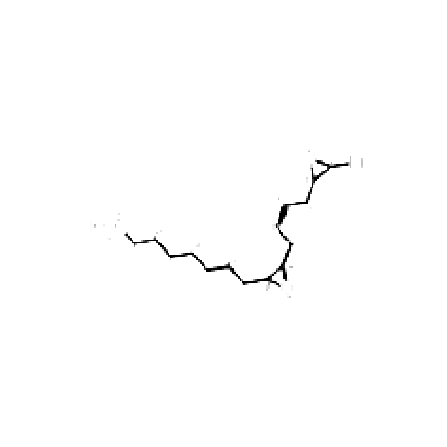 CCC1OC1C/C=C\CC1OC1CCCCCCCC(=O)O